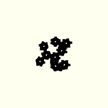 c1ccc(-c2nc(-c3ccccc3)nc(-c3cc(-c4ccc5c6ccccc6n(-c6ccccc6)c5c4)cc4c3sc3ccc5oc6ccccc6c5c34)n2)cc1